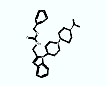 CC(C)[C@H]1CC[C@@H](N2CCC(n3c(CNC(=O)OCc4ccccc4)cc4ccccc43)CC2)CC1